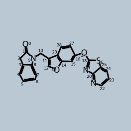 O=C1Cc2ccccc2N1Cc1coc2cc(Oc3nc4ncccc4s3)ccc12